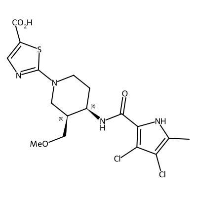 COC[C@H]1CN(c2ncc(C(=O)O)s2)CC[C@H]1NC(=O)c1[nH]c(C)c(Cl)c1Cl